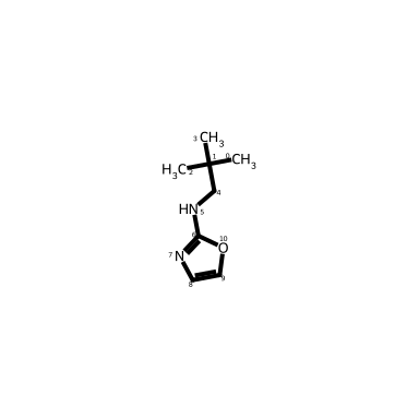 CC(C)(C)CNc1ncco1